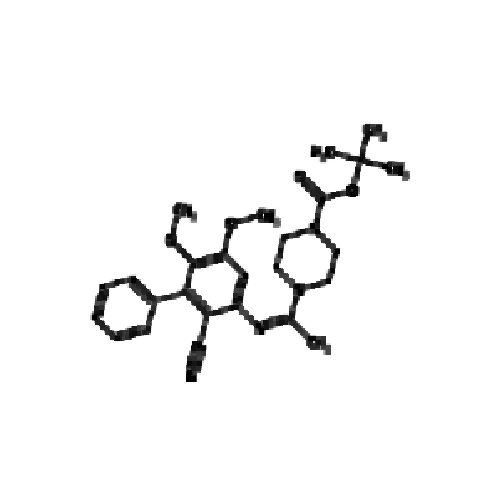 COc1cc(N=C(C)N2CCN(C(=O)OC(C)(C)C)CC2)c(C#N)c(-c2ccccc2)c1OC